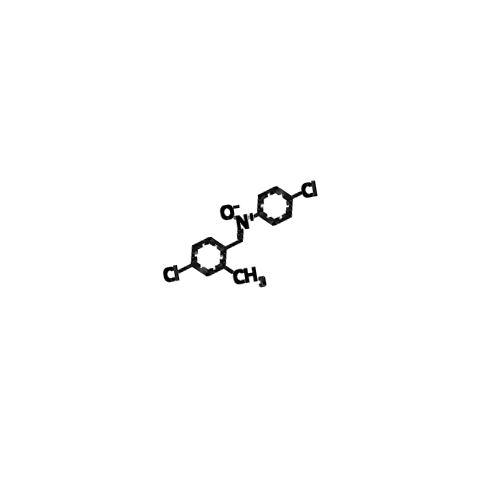 Cc1cc(Cl)ccc1C=[N+]([O-])c1ccc(Cl)cc1